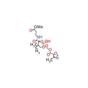 COC(=O)CCNC(=O)[C@@H]1O[P](O)(OCOC(=O)c2ocnc2C)OCC1(C)C